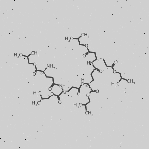 CC(C)COC(=O)CC[C@@H](CC(=O)OCC(C)C)NC(=O)CC[C@H](NC(=O)CC[C@H](NC(=O)CC[C@H](N)C(=O)OCC(C)C)C(=O)OCC(C)C)C(=O)OCC(C)C